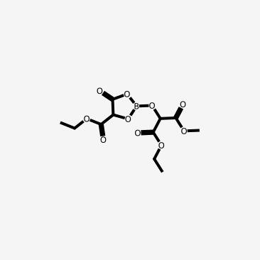 CCOC(=O)C(OB1OC(=O)C(C(=O)OCC)O1)C(=O)OC